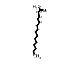 CCCCCCCCCCCCCCC(C)=O